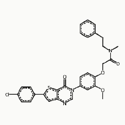 COc1cc(-n2cnc3cc(-c4ccc(Cl)cc4)sc3c2=O)ccc1OCC(=O)N(C)CCc1ccccc1